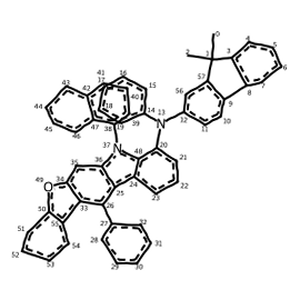 CC1(C)c2ccccc2-c2ccc(N(c3ccccc3)c3cccc4c5c(-c6ccccc6)c6c(cc5n(-c5cccc7ccccc57)c34)oc3ccccc36)cc21